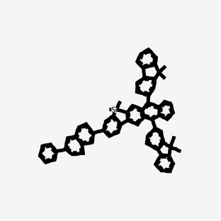 CC1(C)c2ccccc2-c2ccc(-c3c4ccccc4c(-c4ccc5c(c4)C(C)(C)c4ccccc4-5)c4cc5c(cc34)-c3ccc(-c4ccc6cc(-c7ccccc7)ccc6c4)cc3[Si]5(C)C)cc21